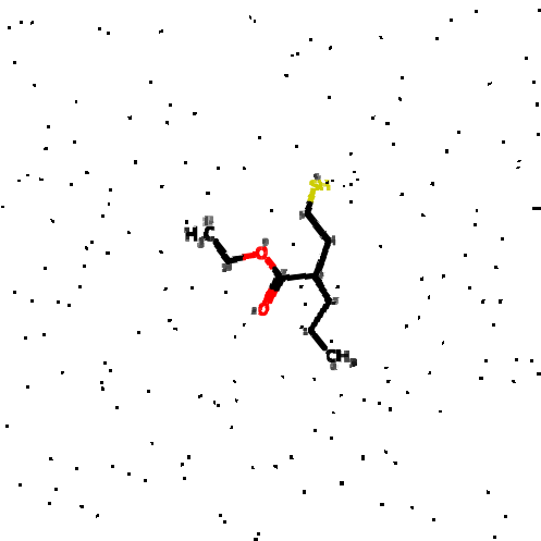 CCCC(CCS)C(=O)OCC